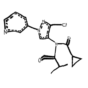 CC(C)C(=O)N(C(=O)C1CC1)c1cn(-c2cccnc2)nc1Cl